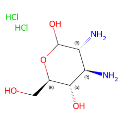 Cl.Cl.N[C@H]1[C@H](O)[C@@H](CO)OC(O)[C@@H]1N